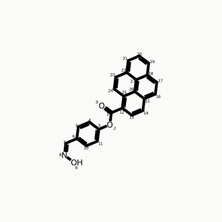 O=C(Oc1ccc(/C=N\O)cc1)c1ccc2ccc3cccc4ccc1c2c34